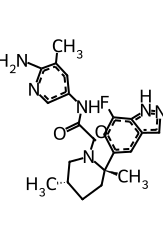 Cc1cc(NC(=O)C(=O)N2C[C@@H](C)CC[C@@]2(C)c2cc(F)c3[nH]ncc3c2)cnc1N